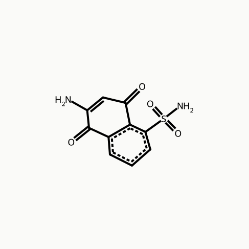 NC1=CC(=O)c2c(cccc2S(N)(=O)=O)C1=O